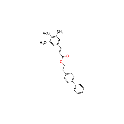 CC(=O)Oc1c(C)cc(/C=C/C(=O)OCCc2ccc(-c3ccccc3)cc2)cc1C